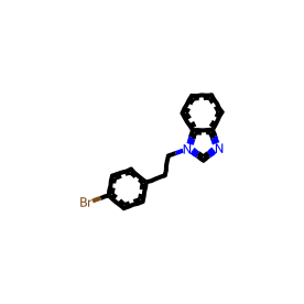 Brc1ccc(CCn2cnc3ccccc32)cc1